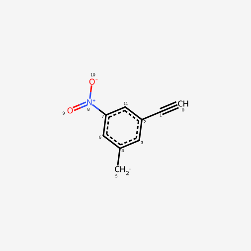 C#Cc1cc([CH2])cc([N+](=O)[O-])c1